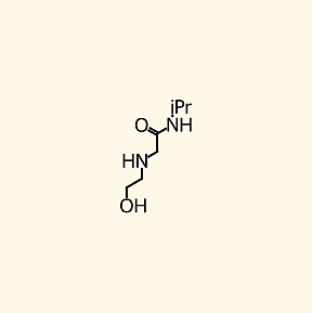 CC(C)NC(=O)CNCCO